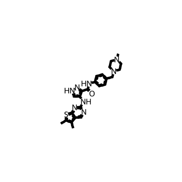 Cc1sc2nc(Nc3c[nH]nc3C(=O)Nc3ccc(CN4CCN(C)CC4)cc3)ncc2c1C